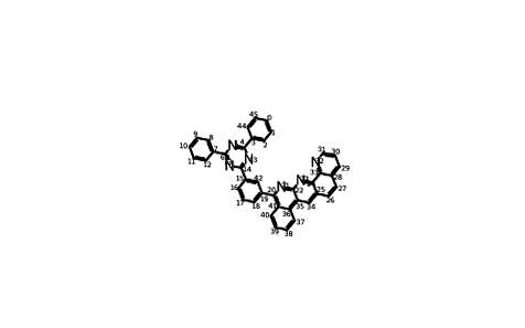 c1ccc(-c2nc(-c3ccccc3)nc(-c3cccc(-c4nc5nc6c(ccc7cccnc76)cc5c5ccccc45)c3)n2)cc1